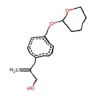 C=C(CO)c1ccc(OC2CCCCO2)cc1